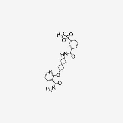 CS(=O)(=O)c1cccc(C(=O)NC2CC3(C2)CC(Oc2ncccc2C(N)=O)C3)c1